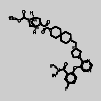 CC(C)N(C(=O)c1cc(F)ccc1Oc1cncnc1N1CC[C@@H](CN2CCC3(CC2)CCN(S(=O)(=O)N2C[C@H]4C[C@@H]2CN4C(=O)OC(C)(C)C)CC3)C1)C(C)C